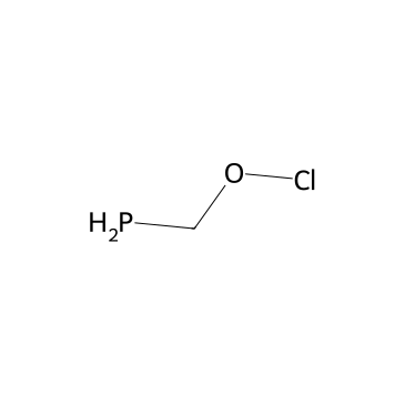 PCOCl